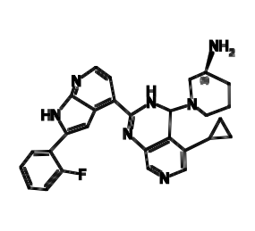 N[C@H]1CCCN(C2NC(c3ccnc4[nH]c(-c5ccccc5F)cc34)=Nc3cncc(C4CC4)c32)C1